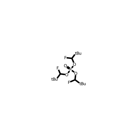 CC(C)(C)C(F)OP(=O)(OC(F)C(C)(C)C)OC(F)C(C)(C)C